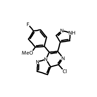 COc1cc(F)ccc1-c1c(-c2cn[nH]c2)nc(Cl)c2ccnn12